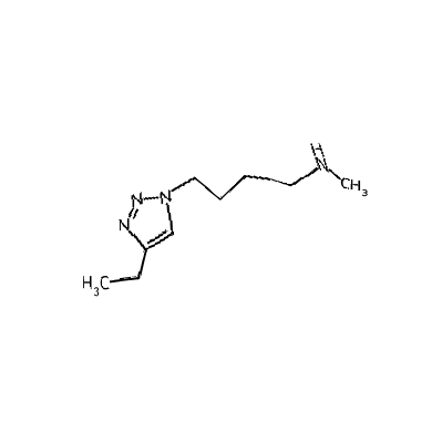 CCc1cn(CCCCNC)nn1